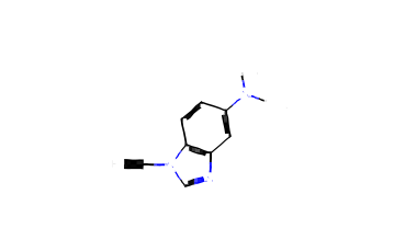 C#Cn1cnc2cc(N(C)C)ccc21